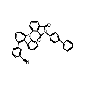 N#Cc1cccc(-c2cccc3c2c2ccccc2n3-c2cccc3c2C(=O)N(c2ccc(-c4ccccc4)cc2)C3=O)c1